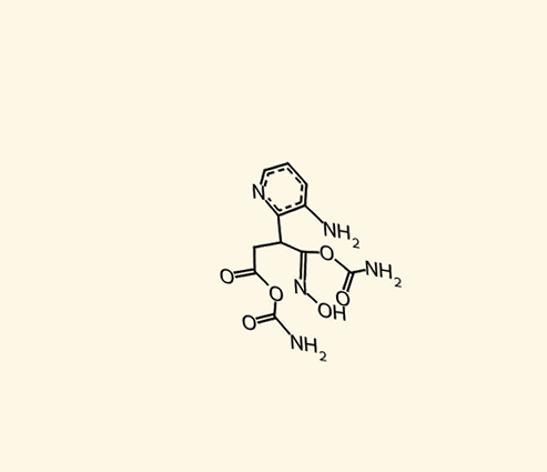 NC(=O)OC(=O)CC(/C(=N/O)OC(N)=O)c1ncccc1N